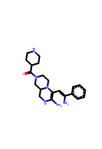 NC1=C(/C=C(\N)c2ccccc2)N2CCN(C(=O)C3CCNCC3)CC2CN1